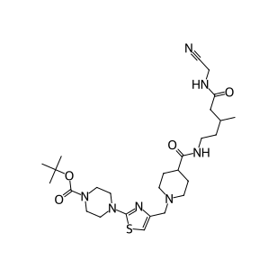 CC(CCNC(=O)C1CCN(Cc2csc(N3CCN(C(=O)OC(C)(C)C)CC3)n2)CC1)CC(=O)NCC#N